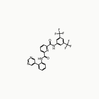 O=C(Nc1cc(C(F)(F)F)cc(C(F)(F)F)c1)c1cccc(C(=O)Nc2ccccc2-c2cncnc2)n1